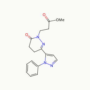 COC(=O)CCN1N=C(c2ccnn2-c2ccccc2)CCC1=O